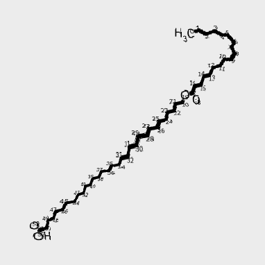 CCCCC/C=C\C/C=C\CCCCCCCC(=O)OCCCCCCCCCCCCCCCCCCCCCCCCCCCCCCCC(=O)O